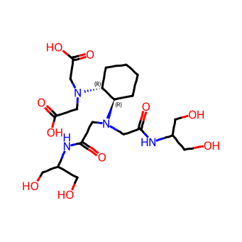 O=C(O)CN(CC(=O)O)[C@@H]1CCCC[C@H]1N(CC(=O)NC(CO)CO)CC(=O)NC(CO)CO